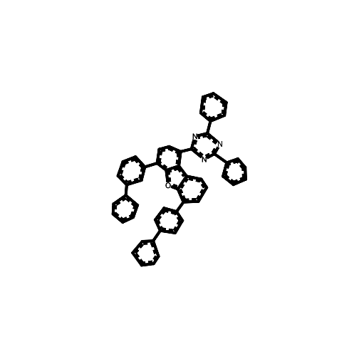 c1ccc(-c2ccc(-c3cccc4c3oc3c(-c5cccc(-c6ccccc6)c5)ccc(-c5nc(-c6ccccc6)nc(-c6ccccc6)n5)c34)cc2)cc1